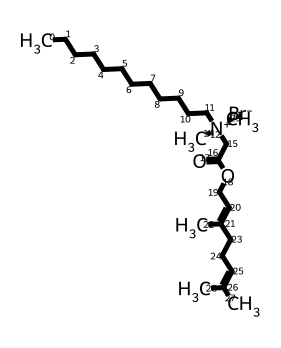 CCCCCCCCCCCC[N+](C)(C)CC(=O)OC/C=C(\C)CCC=C(C)C.[Br-]